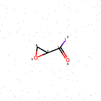 O=C(I)C1CO1